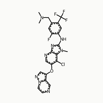 CN(C)Cc1cc(F)c(Nc2nc3ncc(Oc4cnn5ccncc45)c(Cl)c3n2C)cc1C(F)(F)F